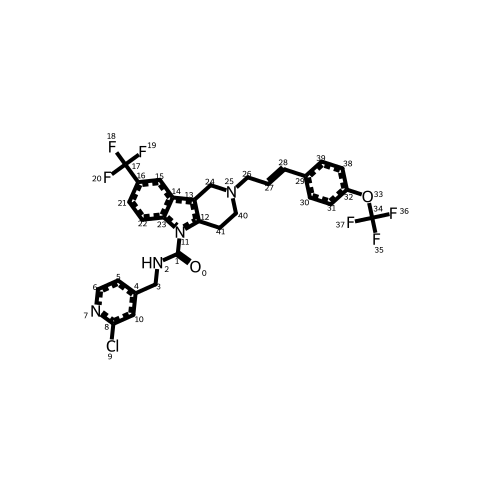 O=C(NCc1ccnc(Cl)c1)n1c2c(c3cc(C(F)(F)F)ccc31)CN(C/C=C/c1ccc(OC(F)(F)F)cc1)CC2